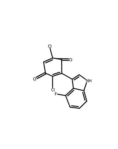 O=C1C=C(Cl)C(=O)C(c2c[nH]c3cccc(F)c23)=C1Cl